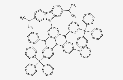 CC(C)c1ccc2c3ccc(C(C)C)cc3n(-c3cc4c5c(c3)N(c3ccccc3)c3cc([Si](c6ccccc6)(c6ccccc6)c6ccccc6)ccc3B5c3ccc(-c5ccccc5)cc3N4c3cccc([Si](c4ccccc4)(c4ccccc4)c4ccccc4)c3)c2c1